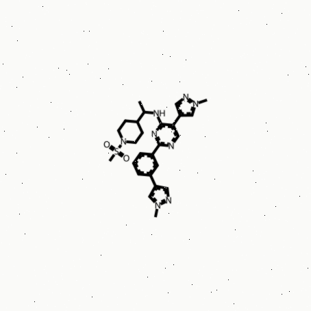 CC(Nc1nc(-c2cccc(-c3cnn(C)c3)c2)ncc1-c1cnn(C)c1)C1CCN(S(C)(=O)=O)CC1